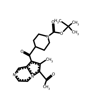 CC(=O)c1c(C)c(C(=O)C2CCN(C(=O)OC(C)(C)C)CC2)c2cnccn12